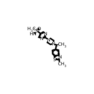 Cc1nc2cc([C@H](C)N3CCN(c4ncc([S@@](C)(=N)=O)cn4)CC3)ccc2s1